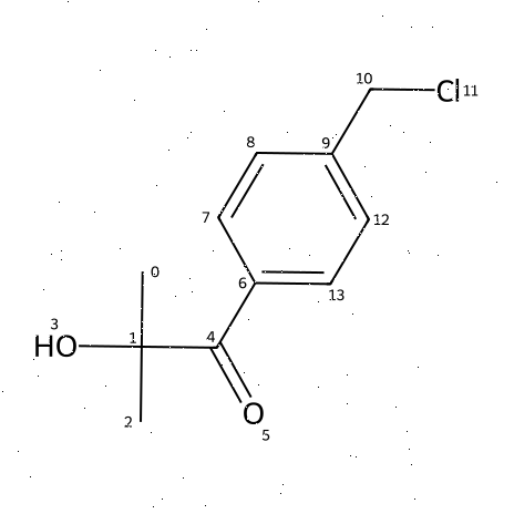 CC(C)(O)C(=O)c1ccc(CCl)cc1